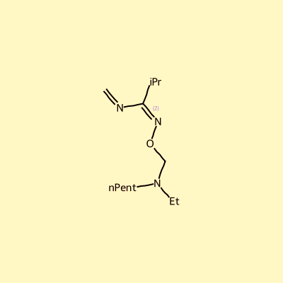 C=N/C(=N\OCN(CC)CCCCC)C(C)C